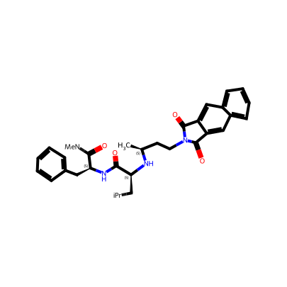 CNC(=O)[C@H](Cc1ccccc1)NC(=O)[C@H](CC(C)C)N[C@@H](C)CCN1C(=O)c2cc3ccccc3cc2C1=O